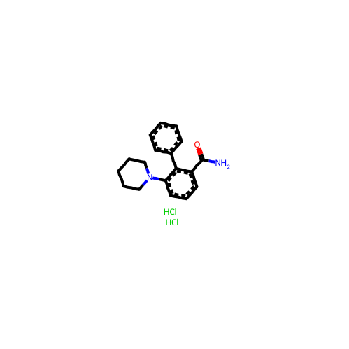 Cl.Cl.NC(=O)c1cccc(N2CCCCC2)c1-c1ccccc1